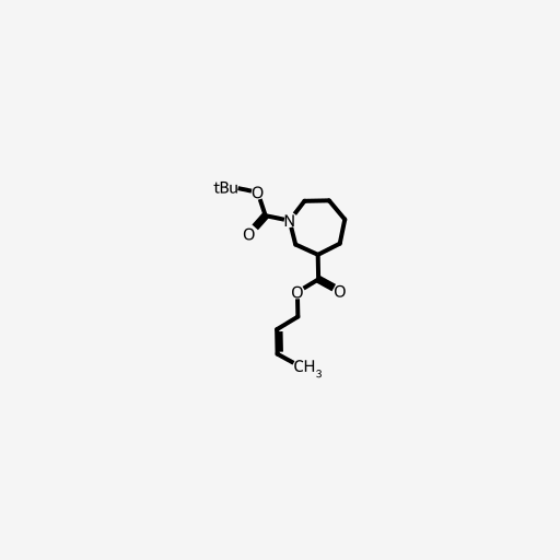 C/C=C\COC(=O)C1CCCCN(C(=O)OC(C)(C)C)C1